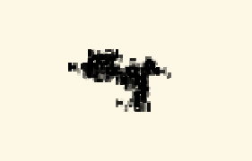 CC(O)c1ncc(Oc2nc(N3CC4(CCCC4N)C3)c3c(n2)[nH]c2c(N(CCS(=O)(=O)c4nc(S(C)(=O)=O)c5c(n4)[nH]c4c(N(C)C(=O)OC(C)(C)C)cc(F)c(F)c45)C(=O)OC(C)(C)C)cc(F)c(F)c23)cn1